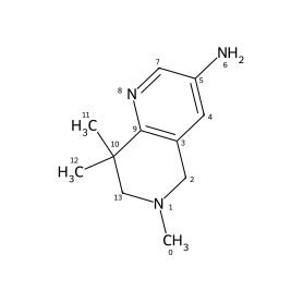 CN1Cc2cc(N)cnc2C(C)(C)C1